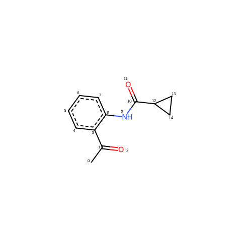 CC(=O)c1ccccc1NC(=O)C1CC1